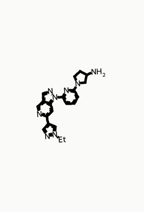 CCn1cc(-c2cc3c(cn2)cnn3-c2cccc(N3CCC(N)C3)n2)cn1